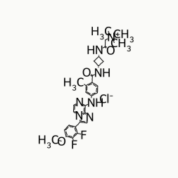 COc1ccc(-c2cnc3c(Nc4ccc(C(=O)N[C@H]5C[C@@H](NC(=O)C[N+](C)(C)C)C5)c(C)c4)nccn23)c(F)c1F.[Cl-]